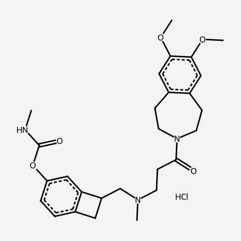 CNC(=O)Oc1ccc2c(c1)C(CN(C)CCC(=O)N1CCc3cc(OC)c(OC)cc3CC1)C2.Cl